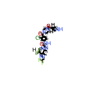 Cn1c(-c2cn(CC(F)F)nc2C(F)F)cnc1C(=O)Nc1ccc(C(=O)N2CCN(C(=O)[C@H]3[C@@H]4CNC[C@@H]43)CC2)c(Cl)c1